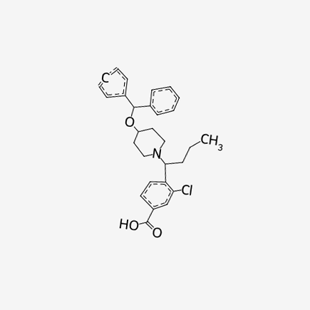 CCCC(c1ccc(C(=O)O)cc1Cl)N1CCC(OC(c2ccccc2)c2ccccc2)CC1